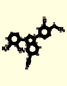 COc1ccc(-n2cc(-c3cccc(N)c3C)c3cc(C#N)ccc32)cc1Cl